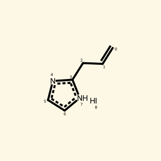 C=CCc1ncc[nH]1.I